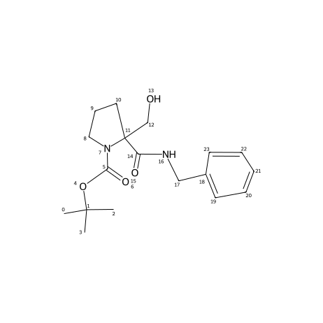 CC(C)(C)OC(=O)N1CCCC1(CO)C(=O)NCc1ccccc1